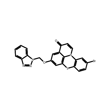 O=c1ccn2c3c(cc(OCn4nnc5ccccc54)cc13)Sc1ccc(Br)cc1-2